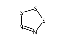 N1=NSSS1